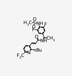 CCCCc1nc(C(F)(F)F)ccc1C=CC(=O)N[C@H](C)c1cc(F)c(NS(C)(=O)=O)c(F)c1